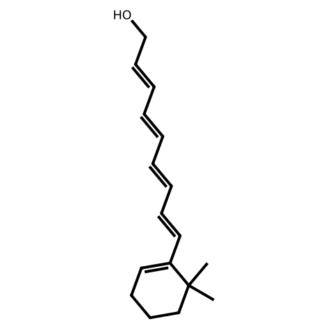 CC1(C)CCCC=C1/C=C/C=C/C=C/C=C/CO